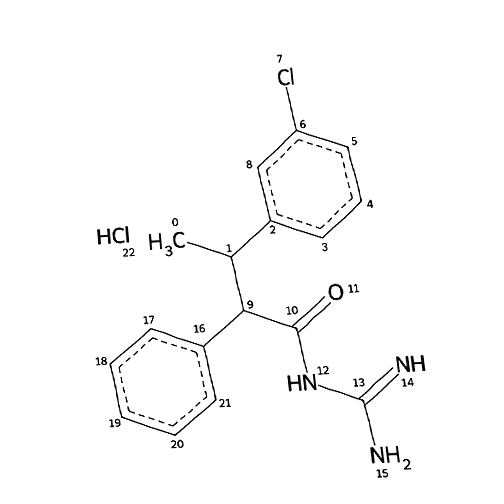 CC(c1cccc(Cl)c1)C(C(=O)NC(=N)N)c1ccccc1.Cl